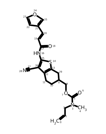 C=CCN(C)C(=O)OCC1CCc2c(sc(NC(=O)C=Cc3ccoc3)c2C#N)C1